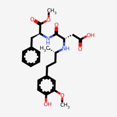 COC(=O)[C@H](Cc1ccccc1)NC(=O)[C@H](CC(=O)O)N[C@@H](C)CCc1ccc(O)c(OC)c1